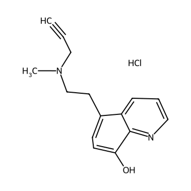 C#CCN(C)CCc1ccc(O)c2ncccc12.Cl